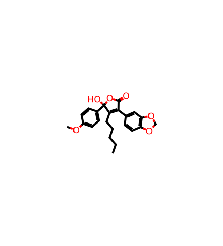 CCCCCC1=C(c2ccc3c(c2)OCO3)C(=O)OC1(O)c1ccc(OC)cc1